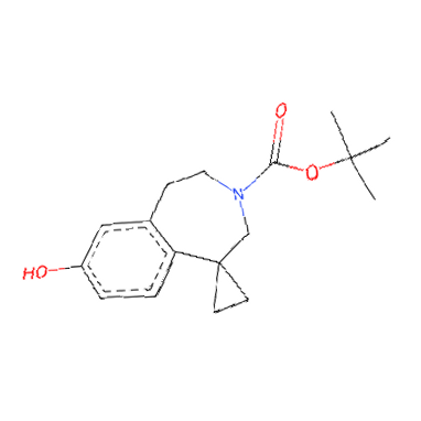 CC(C)(C)OC(=O)N1CCc2cc(O)ccc2C2(CC2)C1